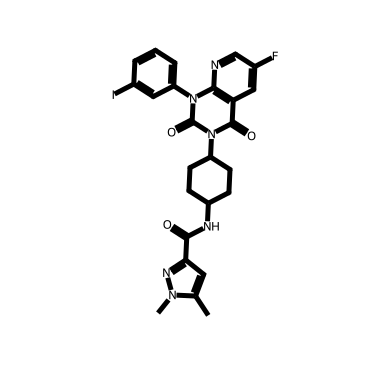 Cc1cc(C(=O)NC2CCC(n3c(=O)c4cc(F)cnc4n(-c4cccc(I)c4)c3=O)CC2)nn1C